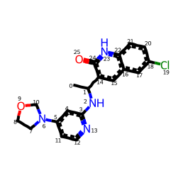 CC(Nc1cc(N2CCOC2)ccn1)c1cc2cc(Cl)ccc2[nH]c1=O